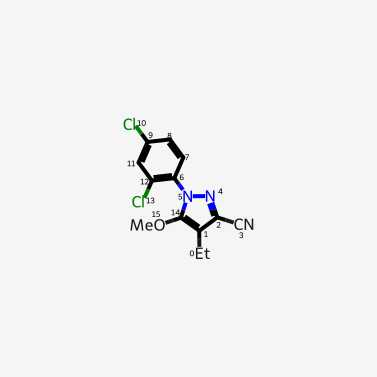 CCc1c(C#N)nn(-c2ccc(Cl)cc2Cl)c1OC